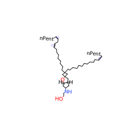 CCCCC/C=C\C/C=C\CCCCCCCCC1(CCCCCCCCCCC/C=C\CCCCC)CC2(C[C@H]3CC(NCCO)C[C@H]3O2)C1